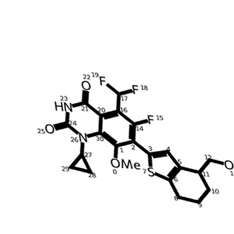 COc1c(-c2cc3c(s2)CCCC3CO)c(F)c(C(F)F)c2c(=O)[nH]c(=O)n(C3CC3)c12